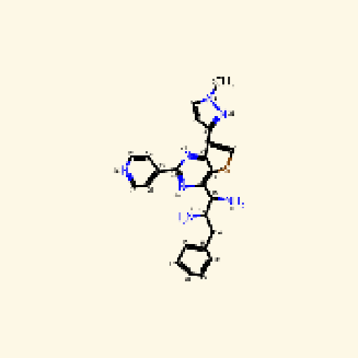 Cn1ccc(-c2csc3c(C(N)C(N)Cc4ccccc4)nc(-c4ccncc4)nc23)n1